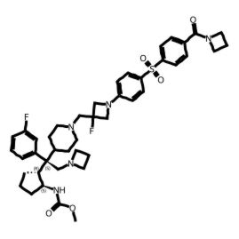 COC(=O)N[C@H]1CCC[C@@H]1[C@](CN1CCC1)(c1cccc(F)c1)C1CCN(CC2(F)CN(c3ccc(S(=O)(=O)c4ccc(C(=O)N5CCC5)cc4)cc3)C2)CC1